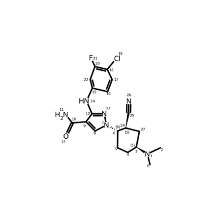 CN(C)[C@H]1CC[C@H](n2cc(C(N)=O)c(Nc3ccc(Cl)c(F)c3)n2)[C@@H](C#N)C1